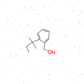 CCC(C)(C)c1ccccc1CO